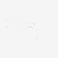 CC1(C)OB(c2cnc3c(c2)c(C(=O)O)nn3COCC[Si](C)(C)C)OC1(C)C